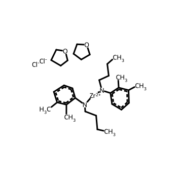 C1CCOC1.C1CCOC1.CCCC[N]([Zr+2][N](CCCC)c1cccc(C)c1C)c1cccc(C)c1C.[Cl-].[Cl-]